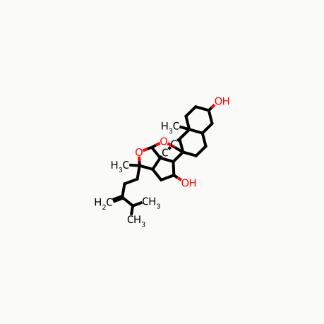 C=C(CCC1(C)OC2OC34CCC5CC(O)CCC5(C)C3CCC23C1CC(O)C43)C(C)C